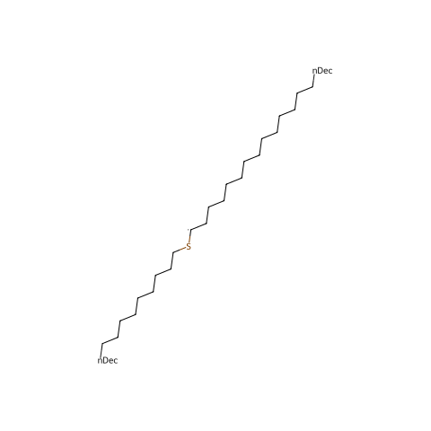 CCCCCCCCCCCCCCCCCCCCCCC[CH]SCCCCCCCCCCCCCCCCCCC